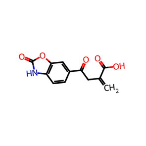 C=C(CC(=O)c1ccc2[nH]c(=O)oc2c1)C(=O)O